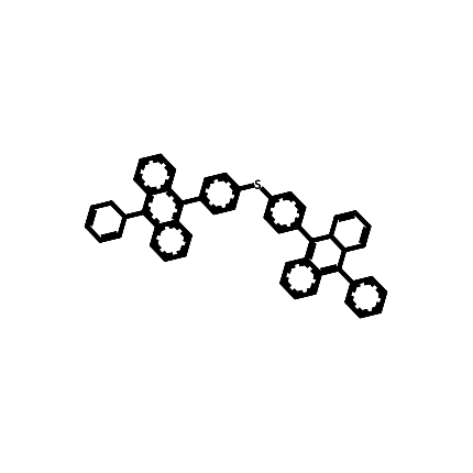 C1=CCC(c2c3ccccc3c(-c3ccc(Sc4ccc(C5=c6ccccc6=C(c6ccccc6)C6C=CC=CC56)cc4)cc3)c3ccccc23)C=C1